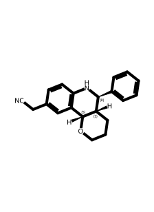 N#CCc1ccc2c(c1)[C@H]1OCCC[C@H]1[C@H](c1ccccc1)N2